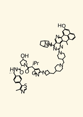 Cc1ncsc1-c1ccc([C@H](C)NC(=O)[C@@H]2C[C@@H](O)CN2C(=O)[C@@H](c2cc(N3CC(CC4CCN(CC5CCN(c6nc(N7CC8CCC(C7)N8)c7cnc8c(c7n6)C(C)c6cccc7cc(O)cc-8c67)CC5)CC4)C3)no2)C(C)C)cc1